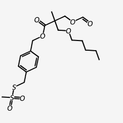 CCCCCOCC(C)(COC=O)C(=O)OCc1ccc(CSS(C)(=O)=O)cc1